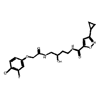 O=C(COc1ccc(Cl)c(F)c1)NCC(O)CCNC(=O)c1cc(C2CC2)no1